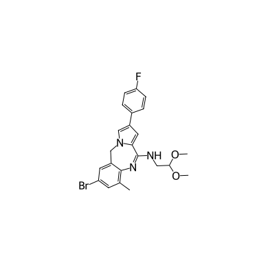 COC(CNC1=Nc2c(C)cc(Br)cc2Cn2cc(-c3ccc(F)cc3)cc21)OC